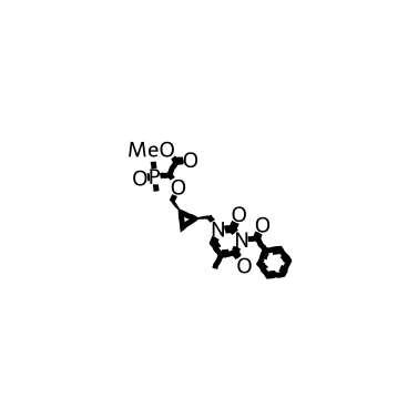 COC(=O)C(OC[C@@H]1C[C@@H]1Cn1cc(C)c(=O)n(C(=O)c2ccccc2)c1=O)P(C)(C)=O